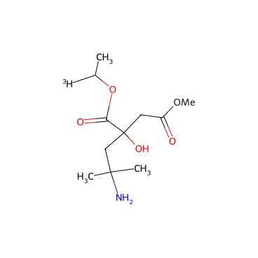 [3H]C(C)OC(=O)C(O)(CC(=O)OC)CC(C)(C)N